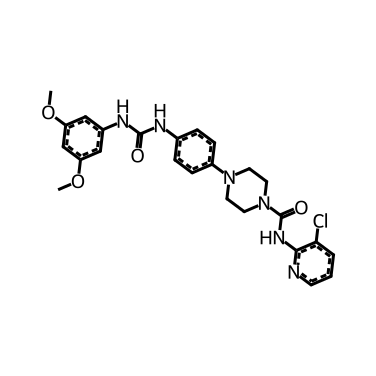 COc1cc(NC(=O)Nc2ccc(N3CCN(C(=O)Nc4ncccc4Cl)CC3)cc2)cc(OC)c1